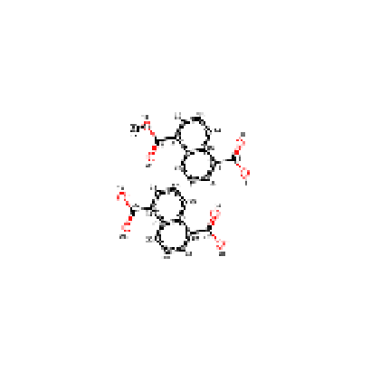 O=C([O-])c1cccc2c(C(=O)[O-])cccc12.O=C([O-])c1cccc2c(C(=O)[O-])cccc12.[Zr+4]